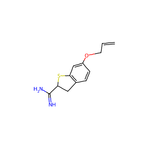 C=CCOc1ccc2c(c1)SC(C(=N)N)C2